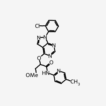 COCC(Oc1ncnc2c1cnn2-c1ccccc1Cl)C(=O)Nc1ccc(C)cn1